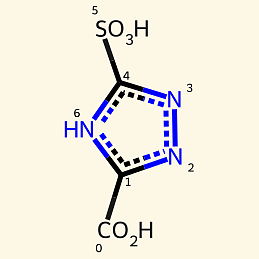 O=C(O)c1nnc(S(=O)(=O)O)[nH]1